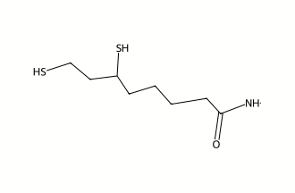 [NH]C(=O)CCCCC(S)CCS